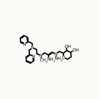 CN(CCN(Cc1ccccn1)Cc1ccccn1)C/C(N)=C/N(N)CC1OCCC(O)C1O